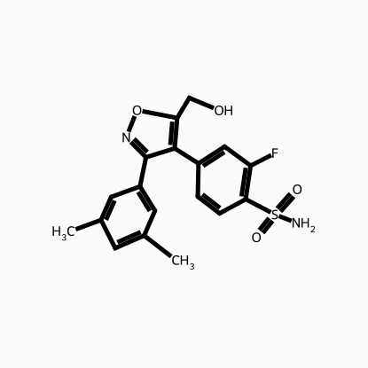 Cc1cc(C)cc(-c2noc(CO)c2-c2ccc(S(N)(=O)=O)c(F)c2)c1